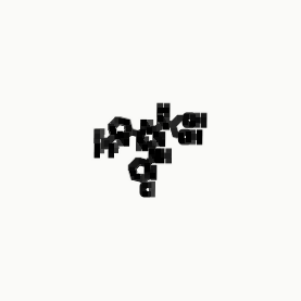 OCC(CO)Nc1nc(Nc2cccc(Cl)n2)nc(-c2cccc(C(F)(F)F)n2)n1